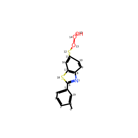 Cc1cccc(-c2nc3ccc(SOOO)cc3s2)c1